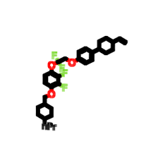 C=CC1CCC(c2ccc(OCC(F)(F)Oc3ccc(OCC4CCC(CCC)CC4)c(F)c3F)cc2)CC1